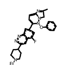 CCN1CCC(c2cc3c(F)cc(C4=CC=C5N=C(C)CN5N4Oc4ccccc4)cc3nn2)CC1